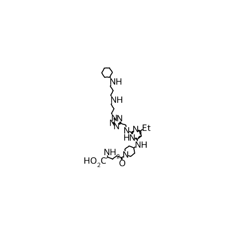 CCc1cc(NC2CCN(C(=O)CC[C@H](N)C(=O)O)CC2)nc(NCc2nnn(CCCNCCCNC3CCCCC3)n2)n1